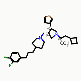 O=C(O)[C@@H](CC1CCC1)N1C[C@H](CN2CCC(CCCc3ccc(F)c(F)c3)CC2)[C@@H](c2ccsc2)C1